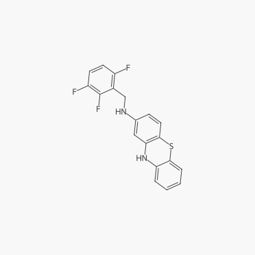 Fc1ccc(F)c(CNc2ccc3c(c2)Nc2ccccc2S3)c1F